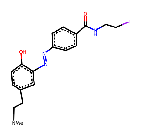 CNCCc1ccc(O)c(/N=N/c2ccc(C(=O)NCCI)cc2)c1